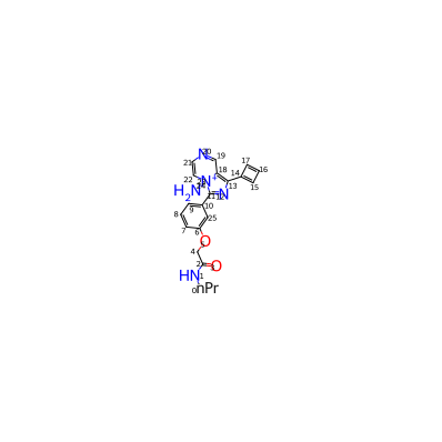 CCCNC(=O)COc1cccc(C2=NC(C3=CC=C3)=C3C=NC=C[N+]23N)c1